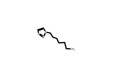 CCCCCCCn1ccnn1